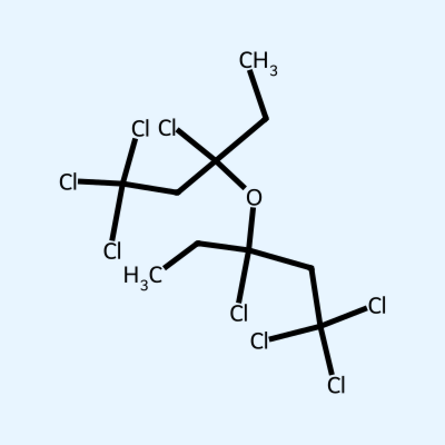 CCC(Cl)(CC(Cl)(Cl)Cl)OC(Cl)(CC)CC(Cl)(Cl)Cl